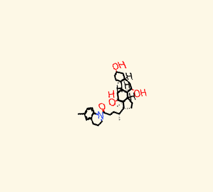 Cc1ccc2c(c1)CCCN2C(=O)CC[C@@H](C)[C@H]1CC[C@H]2[C@@H]3[C@H](O)C[C@@H]4C[C@H](O)CC[C@]4(C)[C@H]3C[C@H](O)[C@]12C